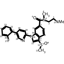 CNCCN(C)C(=O)c1ccc2c([S+](C)[O-])cn(-c3ccc(-c4ccccc4F)cn3)c2c1